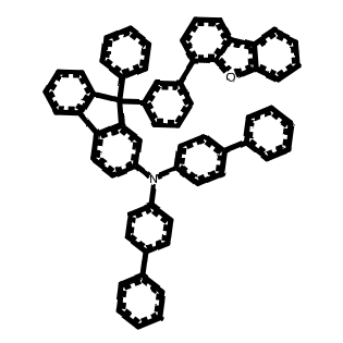 c1ccc(-c2ccc(N(c3ccc(-c4ccccc4)cc3)c3ccc4c(c3)C(c3ccccc3)(c3cccc(-c5cccc6c5oc5ccccc56)c3)c3ccccc3-4)cc2)cc1